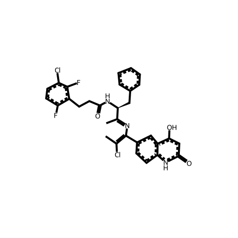 C/C(=N\C(=C(/C)Cl)c1ccc2[nH]c(=O)cc(O)c2c1)[C@H](Cc1ccccc1)NC(=O)CCc1c(F)ccc(Cl)c1F